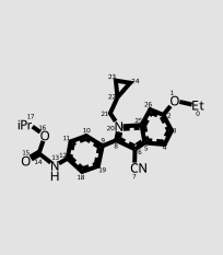 CCOc1ccc2c(C#N)c(-c3ccc(NC(=O)OC(C)C)cc3)n(CC3CC3)c2c1